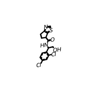 O=C(NC(CO)c1ccc(Cl)cc1Cl)C1CCc2ncsc21